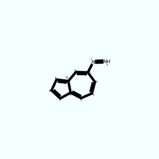 N=Nc1cccc2cccc-2c1